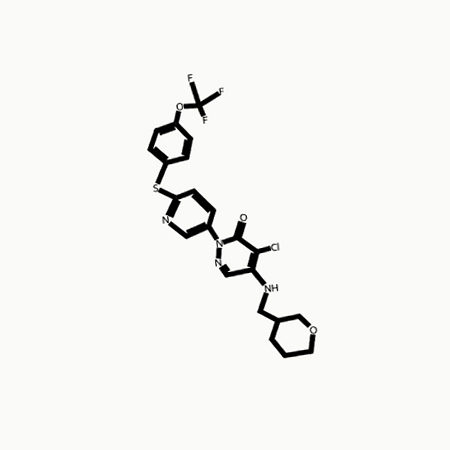 O=c1c(Cl)c(NCC2CCCOC2)cnn1-c1ccc(Sc2ccc(OC(F)(F)F)cc2)nc1